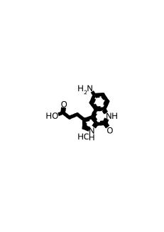 Cl.Nc1ccc2[nH]c(=O)c3[nH]cc(CCC(=O)O)c3c2c1